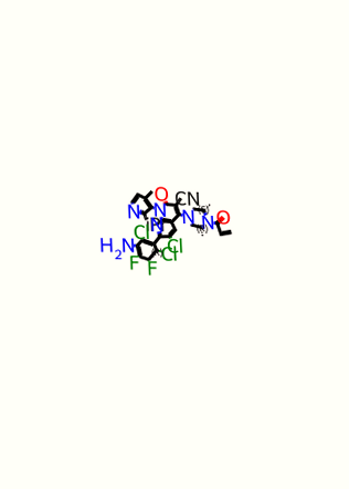 C=CC(=O)N1[C@H](C)CN(c2c(C#N)c(=O)n(-c3c(C)ccnc3C(C)C)c3nc(C4=C(Cl)C(N)=C(F)C(F)[C@@H]4Cl)c(Cl)cc23)C[C@@H]1C